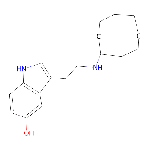 Oc1ccc2[nH]cc(CCNC3CCCCCCC3)c2c1